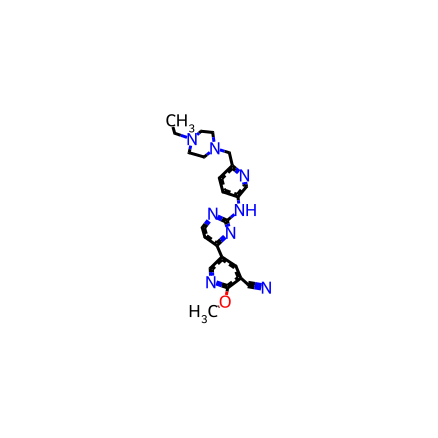 CCN1CCN(Cc2ccc(Nc3nccc(-c4cnc(OC)c(C#N)c4)n3)cn2)CC1